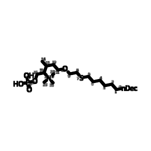 CCCCCCCCCCCCCCCCSCCOCCC(C)C(COP(=O)(O)O)[N+](C)(C)C